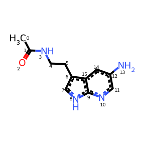 CC(=O)NCCc1c[nH]c2ncc(N)cc12